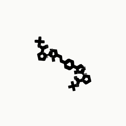 CC(C)(C)OC(=O)N1CCC[C@H]1c1ncc(CCc2ccc(-c3cnc([C@@H]4CCCN4C(=O)OC(C)(C)C)[nH]3)cc2)[nH]1